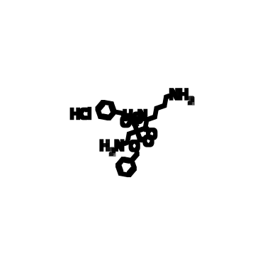 Cl.NCCCCC(N)C(=O)C(CCN)(C(=O)OCc1ccccc1)C(=O)OCc1ccccc1